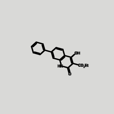 CCOC(=O)c1c(O)c2ccc(-c3ccccc3)cc2[nH]c1=O